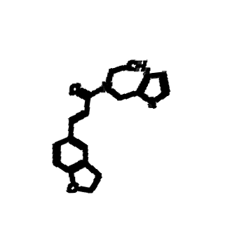 CCN(Cc1cccs1)C(=O)C=Cc1ccc2c(c1)CCO2